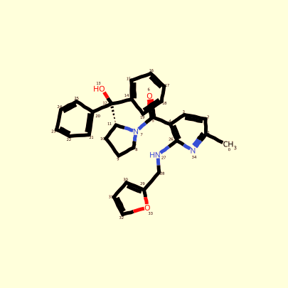 Cc1ccc(C(=O)N2CCC[C@@H]2C(O)(c2ccccc2)c2ccccc2)c(NCc2ccco2)n1